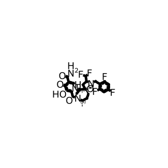 C[C@H]1CC[C@]2(CC(C(F)F)N(Cc3c(F)cc(F)cc3F)O2)[C@H]2CN1C(=O)c1c(O)c(=O)c(C(N)=O)cn12